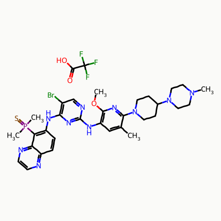 COc1nc(N2CCC(N3CCN(C)CC3)CC2)c(C)cc1Nc1ncc(Br)c(Nc2ccc3nccnc3c2P(C)(C)=S)n1.O=C(O)C(F)(F)F